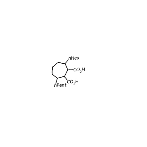 CCCCCCC1CCCC(CCCCC)C(C(=O)O)C1C(=O)O